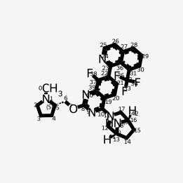 CN1CCC[C@H]1COc1nc(N2C[C@H]3CC[C@@H](C2)N3)c2ccc(-c3nccc4cccc(C(F)(F)F)c34)c(F)c2n1